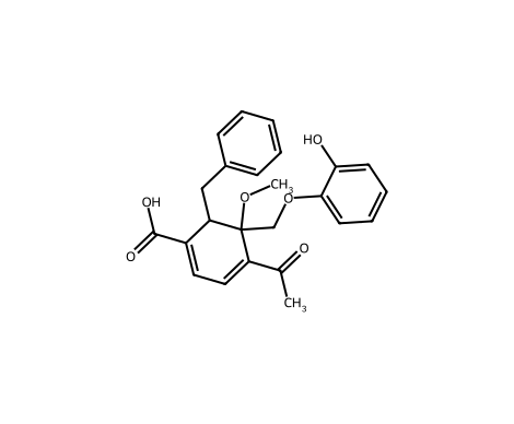 COC1(COc2ccccc2O)C(C(C)=O)=CC=C(C(=O)O)C1Cc1ccccc1